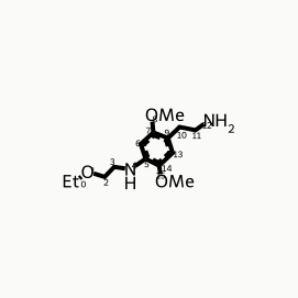 CCOCCNc1cc(OC)c(CCN)cc1OC